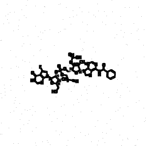 C[C@@H]1[C@H](O[PH](=O)O)[C@@H](COP(=O)(OCCC#N)O[C@@H]2[C@H](C)[C@@H](CO)O[C@H]2n2cc(F)c3c(=O)[nH]cnc32)O[C@H]1n1cnc2c(NC(=O)c3ccccc3)ncnc21